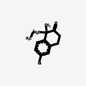 CCc1ccc2c(c1)CCC(=O)C2(C)C.CI